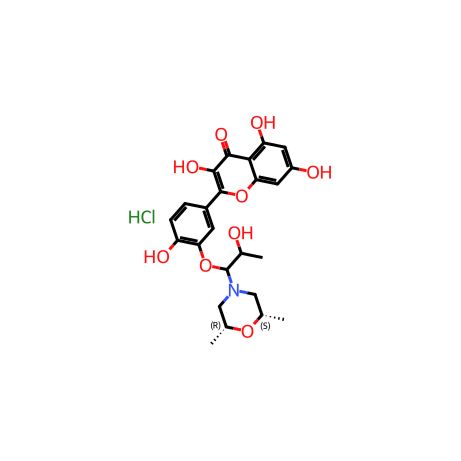 CC(O)C(Oc1cc(-c2oc3cc(O)cc(O)c3c(=O)c2O)ccc1O)N1C[C@@H](C)O[C@@H](C)C1.Cl